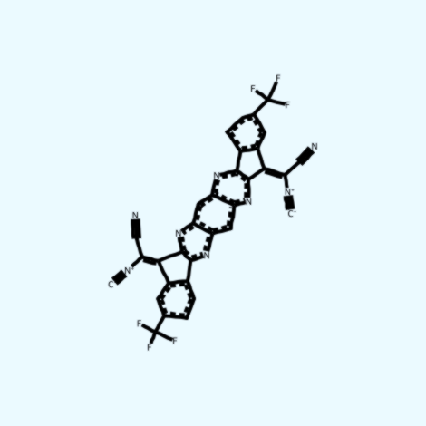 [C-]#[N+]/C(C#N)=C1/c2cc(C(F)(F)F)ccc2-c2nc3cc4nc5c(nc4cc3nc21)-c1ccc(C(F)(F)F)cc1/C5=C(/C#N)[N+]#[C-]